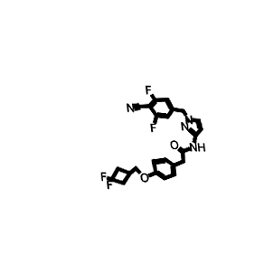 N#Cc1c(F)cc(Cn2ccc(NC(=O)Cc3ccc(OCC4CC(F)(F)C4)cc3)n2)cc1F